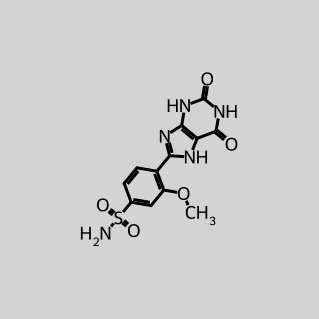 COc1cc(S(N)(=O)=O)ccc1-c1nc2[nH]c(=O)[nH]c(=O)c2[nH]1